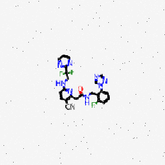 N#Cc1ccc(NCC(F)(F)c2ncccn2)nc1CC(=O)NCc1c(F)cccc1-n1cncn1